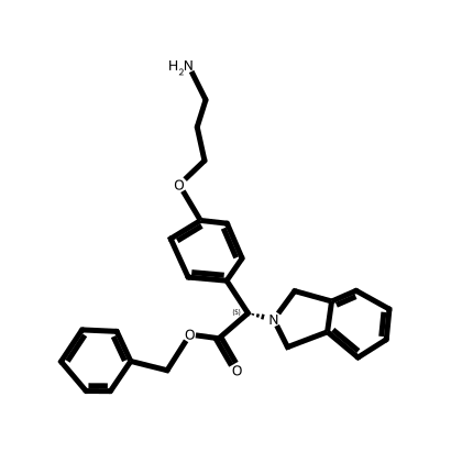 NCCCOc1ccc([C@@H](C(=O)OCc2ccccc2)N2Cc3ccccc3C2)cc1